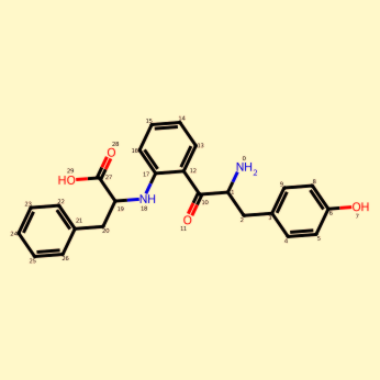 NC(Cc1ccc(O)cc1)C(=O)c1ccccc1NC(Cc1ccccc1)C(=O)O